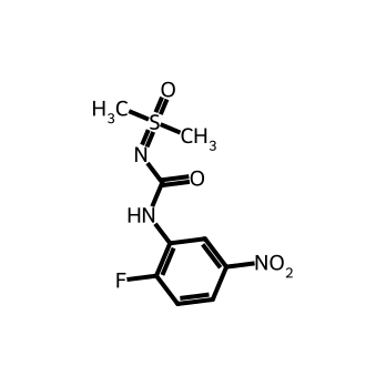 CS(C)(=O)=NC(=O)Nc1cc([N+](=O)[O-])ccc1F